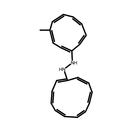 Cc1ccccccc(NNC2=C/C=C\C=C/C=C\C=C/C=C\2)cc1